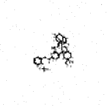 N#Cc1cnc(NCc2ccccc2OC(F)(F)F)nc1NC[C@]12CC3C[C@H](C1)[C@@H](NCC1CCC(O)(CO)CC1)[C@@H](C3)C2